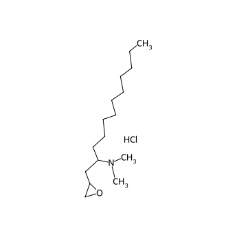 CCCCCCCCCCC(CC1CO1)N(C)C.Cl